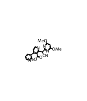 COC(=O)c1c(-c2cccnc2)ccnc1C(C#N)c1nc(OC)cc(OC)n1